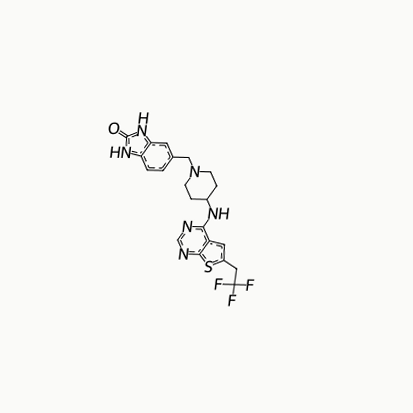 O=c1[nH]c2ccc(CN3CCC(Nc4ncnc5sc(CC(F)(F)F)cc45)CC3)cc2[nH]1